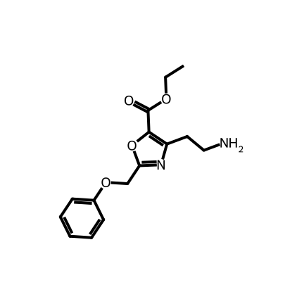 CCOC(=O)c1oc(COc2ccccc2)nc1CCN